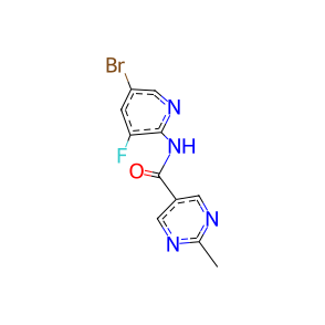 Cc1ncc(C(=O)Nc2ncc(Br)cc2F)cn1